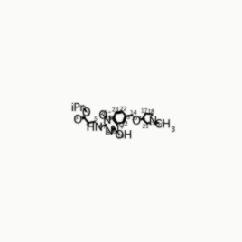 CC(C)OC(=O)CCNc1n[n+](O)c2cc(COC3CCN(C)C3)ccc2[n+]1[O-]